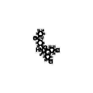 CC(NC(=O)C1CCC(C(=O)c2ccccc2)CC1)C(Cc1ccc(Cl)cc1)c1ccc(Cl)cc1